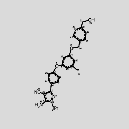 CC(C)n1nc(-c2ccc(Oc3cc(F)cc(OCc4ccc(CO)nc4)c3)cc2)c(C#N)c1N